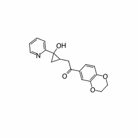 O=C(CC1CC1(O)c1ccccn1)c1ccc2c(c1)OCCO2